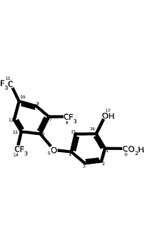 O=C(O)c1ccc(Oc2c(C(F)(F)F)cc(C(F)(F)F)cc2C(F)(F)F)cc1O